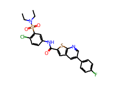 CCN(CC)S(=O)(=O)c1cc(NC(=O)c2cc3cc(-c4ccc(F)cc4)cnc3s2)ccc1Cl